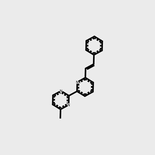 Cc1ccnc(-c2cccc(C=Cc3ccccc3)n2)n1